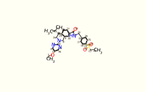 CCOc1cnc(N2Cc3cc(C(=O)NCc4ccc(S(=O)(=O)CC)cc4)ccc3[C@@H](C(C)C)C2)nc1